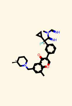 Cc1cc(CN2CCC[C@H](C)C2)cc2c(=O)c(-c3cccc([C@@](F)(C(=N)N(C)C=N)C4CC4)c3)coc12